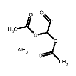 CC(=O)OC([C]=O)OC(C)=O.[AlH3]